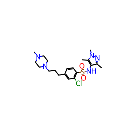 Cc1nn(C)c(C)c1NS(=O)(=O)c1ccc(CCCN2CCN(C)CC2)cc1Cl